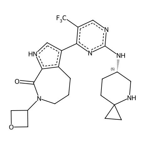 O=C1c2[nH]cc(-c3nc(N[C@H]4CCC5(CC5)NC4)ncc3C(F)(F)F)c2CCCN1C1COC1